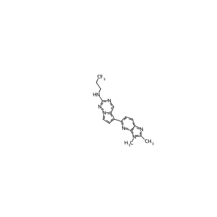 Cc1nc2ccc(-c3ccn4nc(NCCC(F)(F)F)ncc34)nc2n1C